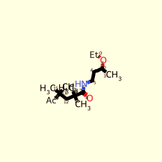 CCOC(C)CCNC(=O)C(C)(C)CC(C)(C)C(C)=O